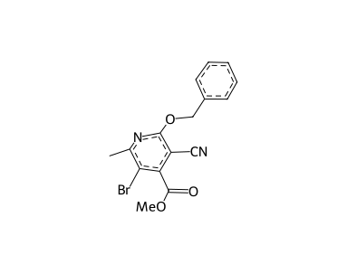 COC(=O)c1c(Br)c(C)nc(OCc2ccccc2)c1C#N